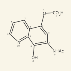 CC(=O)Nc1cc(OC(=O)O)c2cccnc2c1O